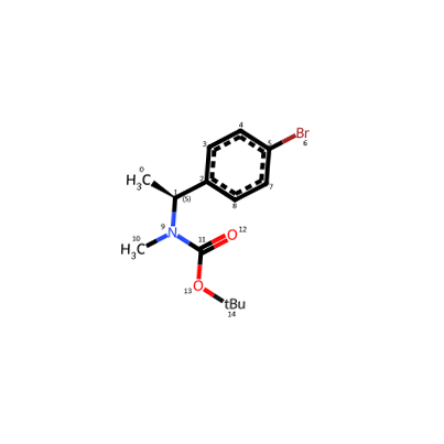 C[C@@H](c1ccc(Br)cc1)N(C)C(=O)OC(C)(C)C